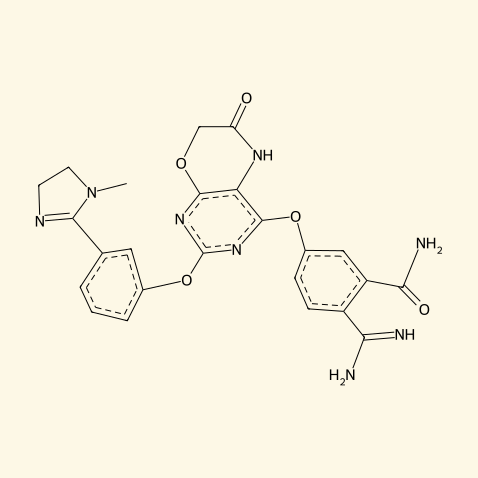 CN1CCN=C1c1cccc(Oc2nc3c(c(Oc4ccc(C(=N)N)c(C(N)=O)c4)n2)NC(=O)CO3)c1